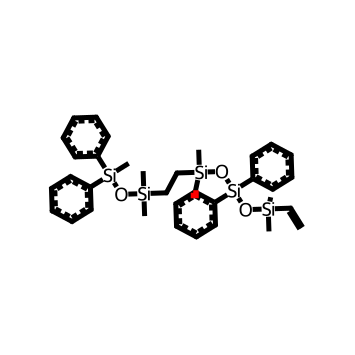 C=C[Si](C)(C)O[Si](O[Si](C)(C)CC[Si](C)(C)O[Si](C)(c1ccccc1)c1ccccc1)(c1ccccc1)c1ccccc1